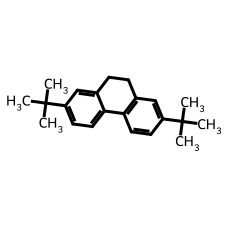 CC(C)(C)c1ccc2c(c1)CCc1cc(C(C)(C)C)ccc1-2